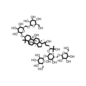 CC(C)(O)[C@@H](CC[C@](C)(O)[C@H]1CC[C@@]2(C)[C@@H]3CC=C4[C@@H](CC[C@H](O[C@@H]5O[C@H](CO[C@@H]6O[C@H](CO)[C@@H](O)[C@H](O)[C@H]6O)[C@@H](O)[C@H](O)[C@H]5O)C4(C)C)[C@]3(C)[C@H](O)C[C@]12C)O[C@@H]1O[C@H](CO[C@@H]2O[C@H](CO)[C@@H](O)[C@H](O)[C@H]2O)[C@@H](O)[C@H](O)[C@H]1O[C@@H]1O[C@H](CO)[C@@H](O)[C@H](O)[C@H]1O